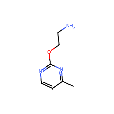 Cc1[c]cnc(OCCN)n1